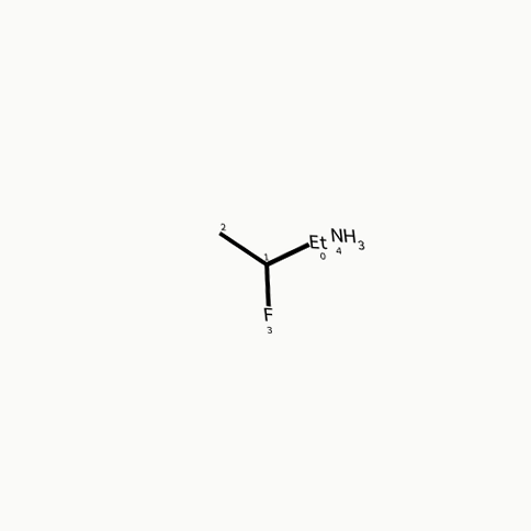 CCC(C)F.N